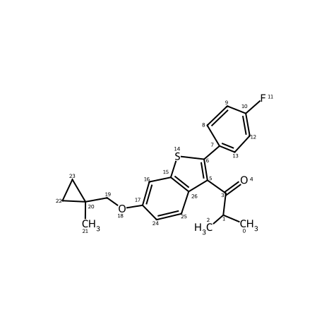 CC(C)C(=O)c1c(-c2ccc(F)cc2)sc2cc(OCC3(C)CC3)ccc12